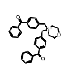 O=C(c1ccccc1)c1ccc(C[N+]2(Cc3ccc(C(=O)c4ccccc4)cc3)CCOCC2)cc1